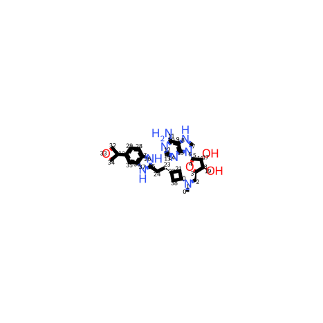 CN(C[C@H]1O[C@H](N2CNc3c(N)ncnc32)[C@H](O)[C@@H]1O)[C@H]1C[C@@H](CCC2Nc3ccc(C4COC4)cc3N2)C1